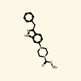 CC(C)(C)OC(=O)N1CCN(c2ccc3c(Cc4ccccc4)n[nH]c3c2)CC1